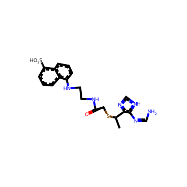 CC(SCC(=O)NCCNc1cccc2c(S(=O)(=O)O)cccc12)c1nc[nH]c1/N=C\N